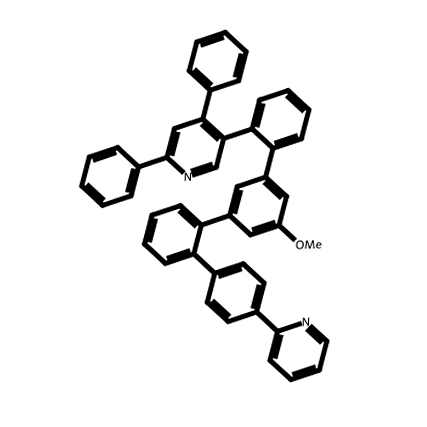 COc1cc(-c2ccccc2-c2ccc(-c3ccccn3)cc2)cc(-c2ccccc2-c2cnc(-c3ccccc3)cc2-c2ccccc2)c1